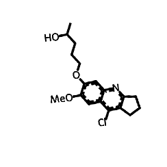 COc1cc2c(Cl)c3c(nc2cc1OCCCC(C)O)CCC3